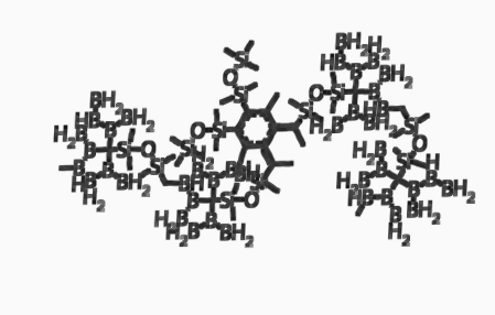 BBB(B)C(B(B)B)(B(B)BC)[Si](C)(C)O[Si](C)(C)CBB(B)C(B(B)B)(B(B)BB)[Si](C)(C)O[Si](C)(C)C(C)=c1c(C)c([Si](C)(C)O[Si](C)(C)C)c([Si](C)(C)O[Si](C)(C)C)c(C)c1=C(C)[Si](C)(C)O[Si](C)(C)C(B(B)B)(B(B)BB)B(B)BC[Si](C)(C)O[Si](C)(C)C(B(B)B)(B(B)BB)B(B)BC